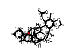 COc1c(C)cc2c(c1O)[C@@H]1[C@@H]3[C@@H]4SC[C@H](NC(=O)c5cccnc5Cl)C(=O)OC[C@@H](c5c6c(c(C)c(OC(C)=O)c54)OCO6)N3[C@@H](O)[C@H](C2)N1C